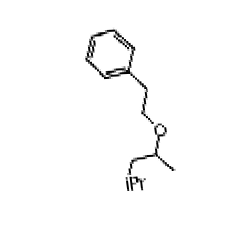 CC(C)CC(C)OCCc1ccccc1